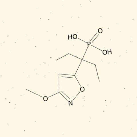 CCC(CC)(c1cc(OC)no1)P(=O)(O)O